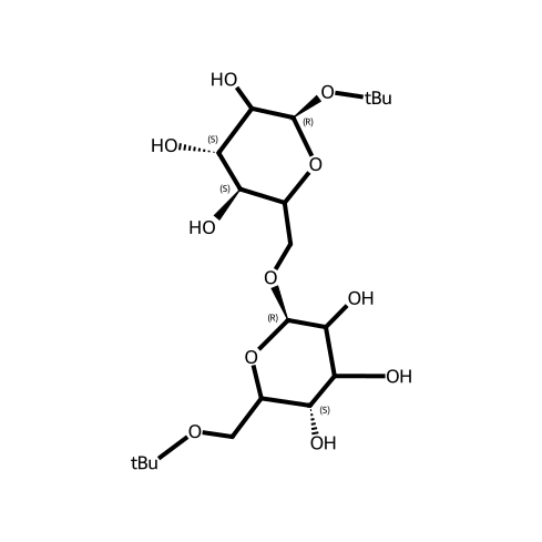 CC(C)(C)OCC1O[C@@H](OCC2O[C@H](OC(C)(C)C)C(O)[C@@H](O)[C@@H]2O)C(O)C(O)[C@@H]1O